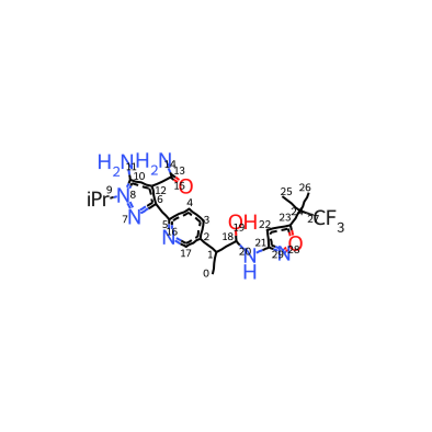 CC(c1ccc(-c2nn(C(C)C)c(N)c2C(N)=O)nc1)C(O)Nc1cc(C(C)(C)C(F)(F)F)on1